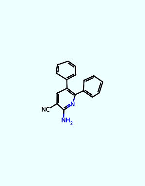 N#Cc1cc(-c2ccccc2)c(-c2ccccc2)nc1N